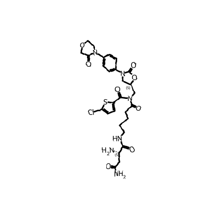 NC(=O)C[C@H](N)C(=O)NCCCCC(=O)N(C[C@H]1CN(c2ccc(N3CCOCC3=O)cc2)C(=O)O1)C(=O)c1ccc(Cl)s1